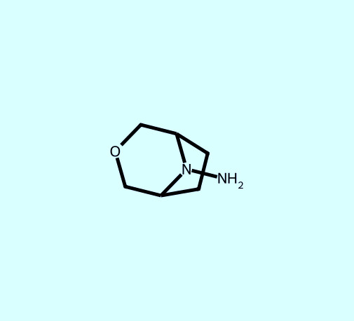 NN1C2CCC1COC2